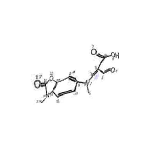 CN(/C=C(\C=O)C(=O)O)c1ccc2c(c1)oc(=O)n2C